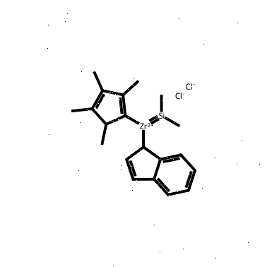 CC1=C(C)C(C)[C]([Zr+2]([CH]2C=Cc3ccccc32)=[Si](C)C)=C1C.[Cl-].[Cl-]